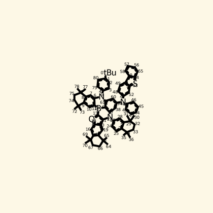 CC(C)(C)c1ccc(N2c3cc4c(cc3B3c5oc6cc7c(cc6c5N(c5ccc6c(c5)C(C)(C)CCC6(C)C)c5cc(N(c6ccccc6)c6ccc8c(c6)sc6ccccc68)cc2c53)C(C)(C)CCC7(C)C)C(C)(C)CCC4(C)C)cc1